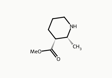 COC(=O)[C@@H]1CCCN[C@@H]1C